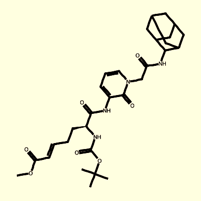 COC(=O)/C=C/CC[C@H](NC(=O)OC(C)(C)C)C(=O)Nc1cccn(CC(=O)NC2C3CC4CC(C3)CC2C4)c1=O